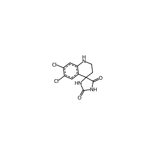 O=C1NC(=O)C2(CCNc3cc(Cl)c(Cl)cc32)N1